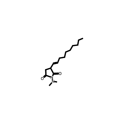 CCCCCCCCC=CC1CC(=O)N(N(C)C)C1=O